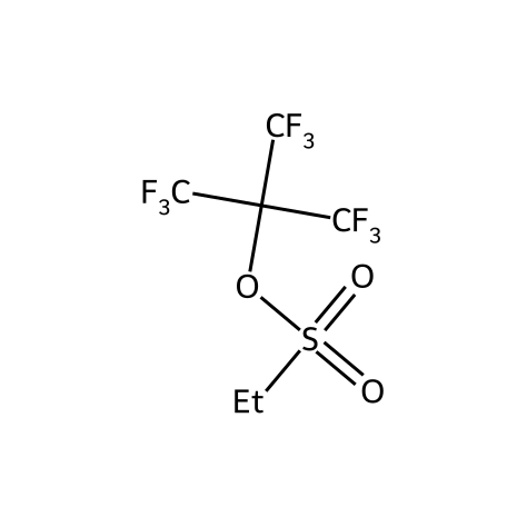 CCS(=O)(=O)OC(C(F)(F)F)(C(F)(F)F)C(F)(F)F